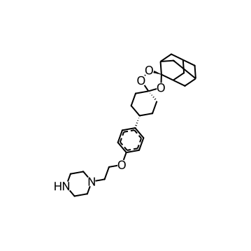 c1cc([C@H]2CC[C@]3(CC2)OO[C@]2(O3)C3CC4CC(C3)CC2C4)ccc1OCCN1CCNCC1